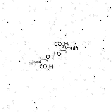 CCCC(CCOCCOCCC(CCC)C(=O)O)C(=O)O